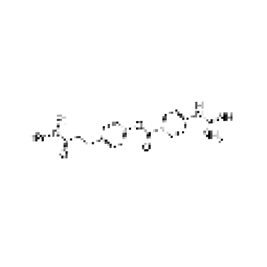 CCCN(CC)C(=O)CCc1ccc(OC(=O)c2ccc(NC(=N)N)cc2)cc1